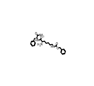 NC(=O)[C@H](Cc1ccccc1)NC(=O)[C@@H](N)CCCCCNC(=O)OCc1ccccc1